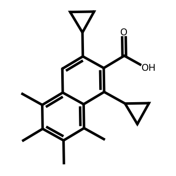 Cc1c(C)c(C)c2c(C3CC3)c(C(=O)O)c(C3CC3)cc2c1C